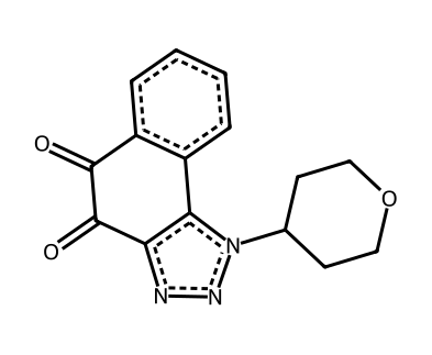 O=C1C(=O)c2nnn(C3CCOCC3)c2-c2ccccc21